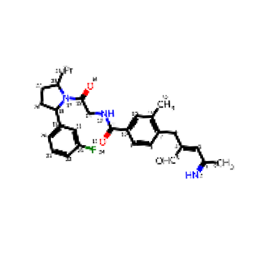 CC(=N)/C=C(\C=O)Cc1ccc(C(=O)NCC(=O)N2C(c3cccc(F)c3)CCC2C(C)C)cc1C